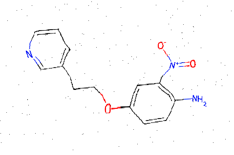 Nc1ccc(OCCc2cccnc2)cc1[N+](=O)[O-]